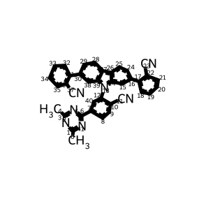 Cc1nc(C)nc(-c2ccc(C#N)c(-n3c4cc(-c5ccccc5C#N)ccc4c4ccc(-c5ccccc5C#N)cc43)c2)n1